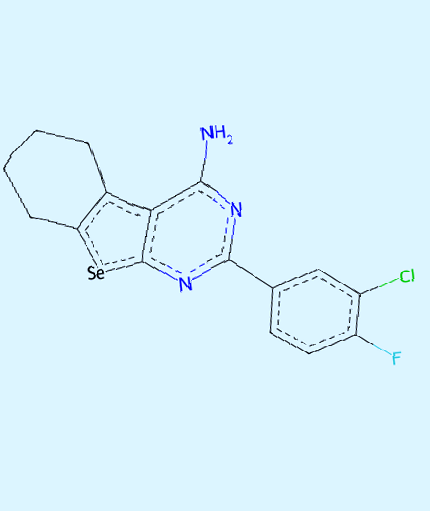 Nc1nc(-c2ccc(F)c(Cl)c2)nc2[se]c3c(c12)CCCC3